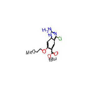 COCCOc1cc2nc(N)nc(Cl)c2cc1C(=O)OC(C)(C)C